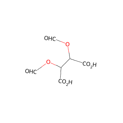 O=COC(C(=O)O)C(OC=O)C(=O)O